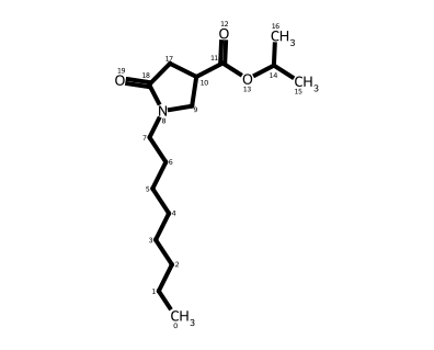 CCCCCCCCN1CC(C(=O)OC(C)C)CC1=O